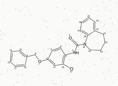 O=C(Nc1ccc(OCc2ccccc2)cc1Cl)N1CCCCc2ccccc21